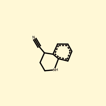 N#CC1CCNc2ccccc21